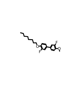 CCCCCCCCOc1ccc(-c2ccc(OC)c(F)c2)cc1F